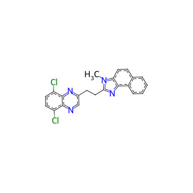 Cn1c(CCc2cnc3c(Cl)ccc(Cl)c3n2)nc2c3ccccc3ccc21